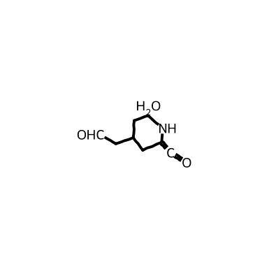 O.O=C=C1CC(CC=O)CCN1